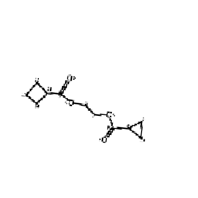 O=C(OCCOC(=O)C1CC1)C1CCC1